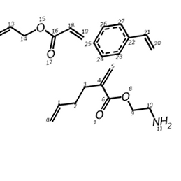 C=CCCC(=C)C(=O)OCCN.C=CCOC(=O)C=C.C=Cc1ccccc1